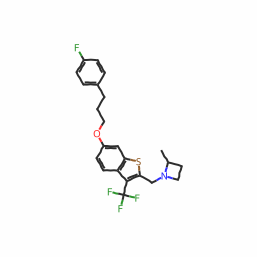 CC1CCN1Cc1sc2cc(OCCCc3ccc(F)cc3)ccc2c1C(F)(F)F